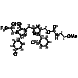 COCCNC(=O)OCc1nc(Cn2nc(-c3ccc(Cl)cc3)n(C[C@H](O)C(F)(F)F)c2=O)nn1-c1ccccc1Cl